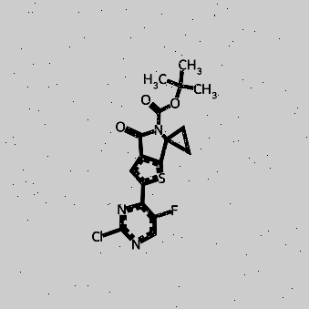 CC(C)(C)OC(=O)N1C(=O)c2cc(-c3nc(Cl)ncc3F)sc2C12CC2